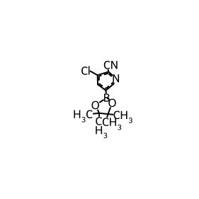 CC1(C)OB(c2cnc(C#N)c(Cl)c2)OC1(C)C